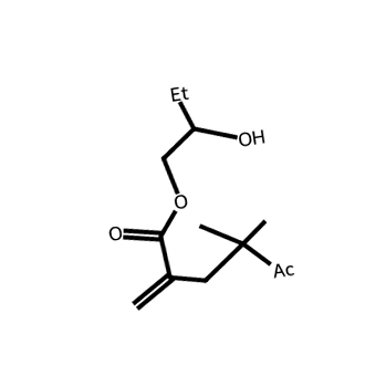 C=C(CC(C)(C)C(C)=O)C(=O)OCC(O)CC